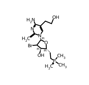 C=C1N=C(N)C(CCO)=CN1[C@@H]1O[C@H](CCP(=C)(C)C)[C@@H](O)C1Br